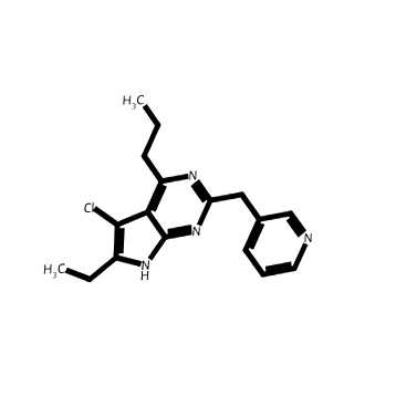 CCCc1nc(Cc2cccnc2)nc2[nH]c(CC)c(Cl)c12